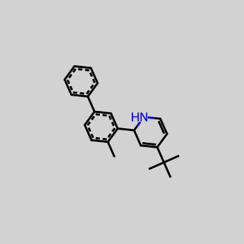 Cc1ccc(-c2ccccc2)cc1C1C=C(C(C)(C)C)C=CN1